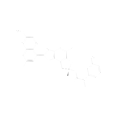 COc1cnc2c(-c3nc4cc(F)c5c(c4s3)C[C@@](C)(OC(=O)N(C)c3cccc(C#N)c3)O5)cc(C)cc2n1